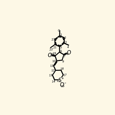 Cc1cc(C)c(C2C(=O)C/C(=C\C3CC[S+]([O-])CC3)C2=O)c(C)c1